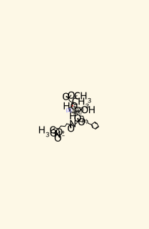 CCC(CCCC(=O)NCC(=O)O[C@@H](CCc1ccccc1)CC[C@@H]1[C@@H](C/C=C\CCCC(=O)OC(C)C)[C@@H](O)C[C@H]1O)O[N+](=O)[O-]